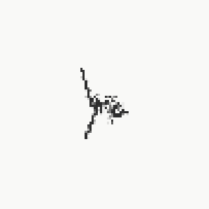 CCCCCCCC1CC(CCCCCCC)C(C(=O)Nc2c(SC)cc(C)nc2SC)S1